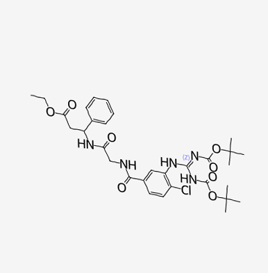 CCOC(=O)CC(NC(=O)CNC(=O)c1ccc(Cl)c(N/C(=N/C(=O)OC(C)(C)C)NC(=O)OC(C)(C)C)c1)c1ccccc1